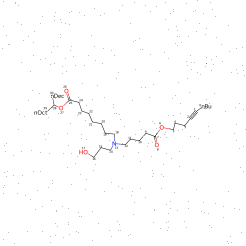 CCCCC#CCCCOC(=O)CCCCN(CCCO)CCCCCCCC(=O)OC(CCCCCCCC)CCCCCCCCCC